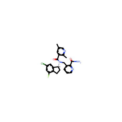 Cc1cnc(C)c(C(=O)N(Cc2cccnc2C(N)=O)[C@@H]2CCc3c(F)cc(Cl)cc32)c1